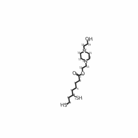 O=C(CCCC[C@@H](S)CCS)OCCN1CCN(CCO)CC1